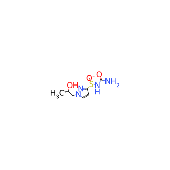 C[C@@H](O)Cn1ccc([S+]([O-])NC(N)=O)n1